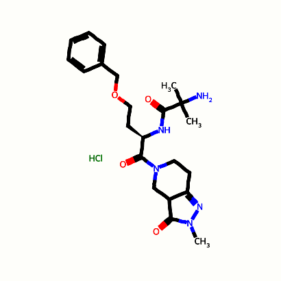 CN1N=C2CCN(C(=O)[C@@H](CCOCc3ccccc3)NC(=O)C(C)(C)N)CC2C1=O.Cl